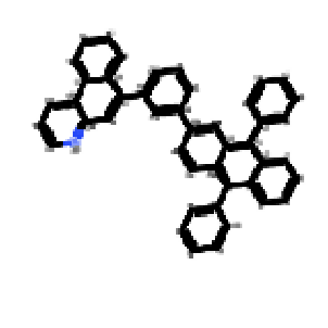 c1ccc(-c2c3ccccc3c(-c3ccccc3)c3cc(-c4cccc(-c5cc6ncccc6c6ccccc56)c4)ccc23)cc1